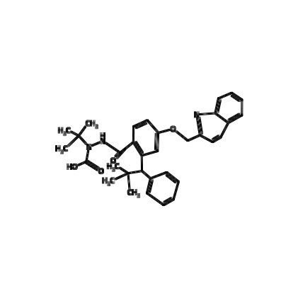 CC(C)(C)C(c1ccccc1)c1cc(OCc2ccc3ccccc3n2)ccc1C(=O)NN(C(=O)O)C(C)(C)C